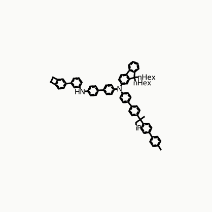 CCCCCCC1(CCCCCC)c2ccccc2-c2ccc(N(c3ccc(-c4ccc(Nc5cccc(-c6ccc7c(c6)CC7)c5)cc4)cc3)c3ccc(-c4ccc(C(C)(CC(C)C)c5ccc(-c6ccc(C)cc6)cc5)cc4)cc3)cc21